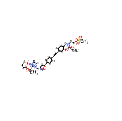 C[C@H](OC1CCCCO1)c1nccn1Cc1cc(-c2ccc(C#Cc3ccc(CN(CCOS(C)(=O)=O)C(=O)OC(C)(C)C)cc3)cc2)on1